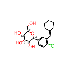 OC[C@H]1O[C@@H](c2ccc(Cl)c(C=C3CCCCC3)c2)[C@H](O)[C@@H](O)[C@@H]1O